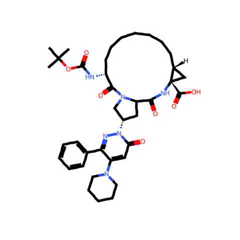 CC(C)(C)OC(=O)N[C@@H]1CCCCCCC[C@@H]2C[C@]2(C(=O)O)NC(=O)C2C[C@H](n3nc(-c4ccccc4)c(N4CCCCC4)cc3=O)CN2C1=O